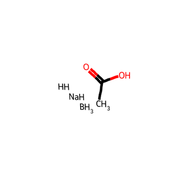 B.CC(=O)O.[HH].[NaH]